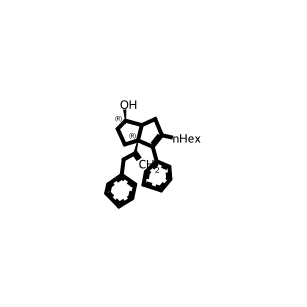 C=C(Cc1ccccc1)[C@@]12CC[C@@H](O)C1CC(CCCCCC)=C2c1ccccc1